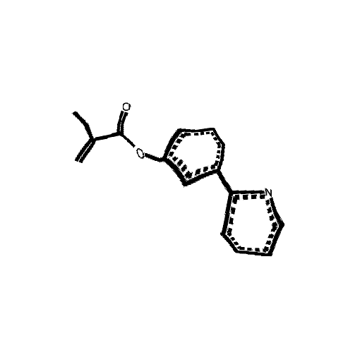 C=C(C)C(=O)Oc1cccc(-c2ccccn2)c1